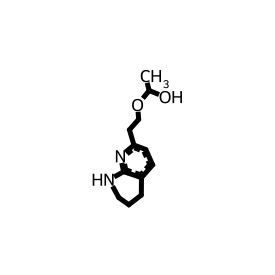 CC(O)OCCc1ccc2c(n1)NCCC2